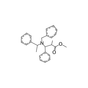 COC(=O)C(C)C(c1ccccc1)N(Cc1ccccc1)C(C)c1ccccc1